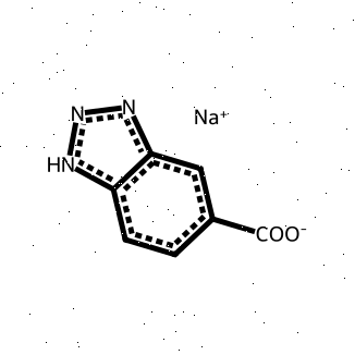 O=C([O-])c1ccc2[nH]nnc2c1.[Na+]